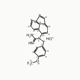 Cl.N=C(N)N(Cc1ccc(OC(F)(F)F)cc1)c1ccc2c3c(cccc13)C=C2